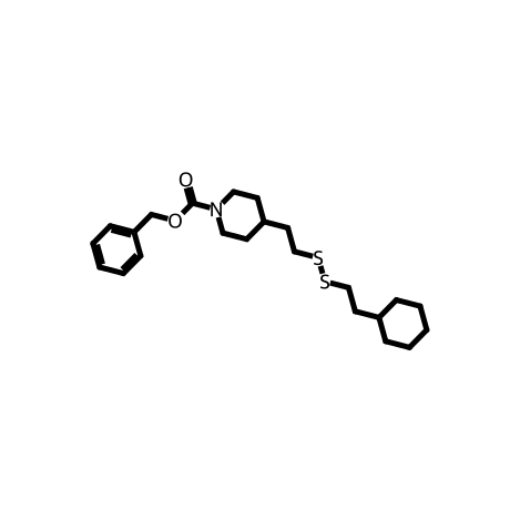 O=C(OCc1ccccc1)N1CCC(CCSSCCC2CCCCC2)CC1